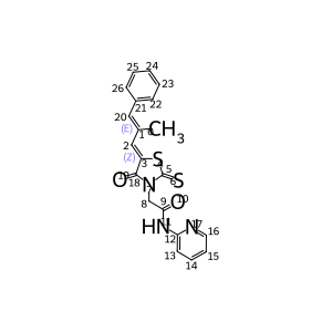 CC(/C=C1\SC(=S)N(CC(=O)Nc2ccccn2)C1=O)=C\c1ccccc1